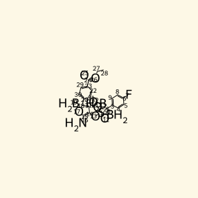 BC(B)(c1ccc(F)cc1)S(=O)(=O)OC1=C(N)O[C@@](B)(c2ccc(C(=O)OCC)cc2)C1=O